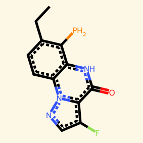 CCc1ccc2c([nH]c(=O)c3c(F)cnn32)c1P